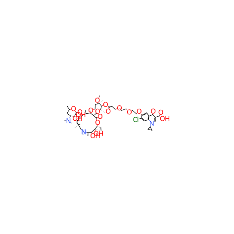 CC[C@H]1OC(=O)[C@H](C)[C@@H](O[C@H]2C[C@@](C)(OC)[C@@H](OC(=O)CCOCCOCCOc3cc4c(=O)c(C(=O)O)cn(C5CC5)c4cc3Cl)[C@H](C)O2)[C@H](C)[C@@H](O[C@@H]2O[C@H](C)C[C@H](N(C)C)[C@H]2O)[C@](C)(O)C[C@@H](C)CN(C)[C@H](C)[C@@H](O)[C@]1(C)O